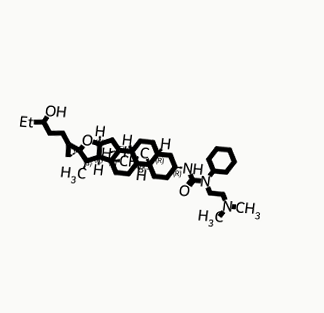 CCC(O)CCC1C[C@@]12O[C@H]1C[C@H]3[C@@H]4CC[C@@H]5C[C@H](NC(=O)N(CCN(C)C)C6CCCCC6)CC[C@]5(C)[C@H]4CC[C@]3(C)[C@H]1[C@@H]2C